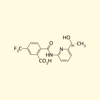 C[C@@H](O)c1cccc(NC(=O)c2ccc(C(F)(F)F)cc2C(=O)O)n1